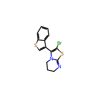 BrC1=C(c2csc3ccccc23)N2CCCN=C2S1